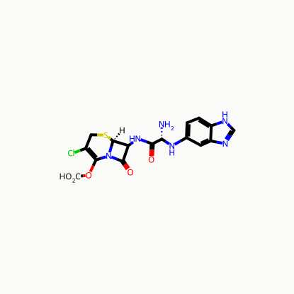 N[C@H](Nc1ccc2[nH]cnc2c1)C(=O)NC1C(=O)N2C(OC(=O)O)=C(Cl)CS[C@@H]12